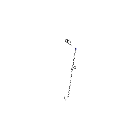 CCCCCCCC/C=C\CCCCCCCCCCCC(=O)OCCCCCCCCCCCCCCCCCCCC